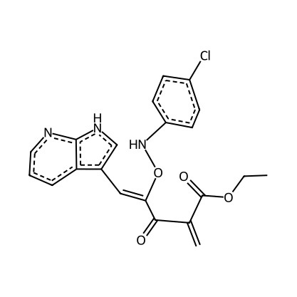 C=C(C(=O)OCC)C(=O)/C(=C/c1c[nH]c2ncccc12)ONc1ccc(Cl)cc1